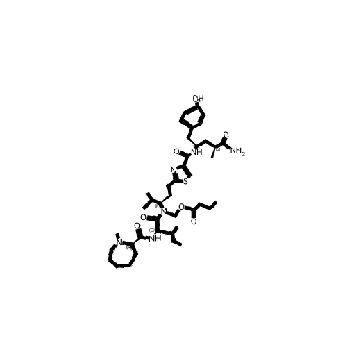 CCCC(=O)OCN(C(=O)[C@@H](NC(=O)[C@H]1CCCCCN1C)C(C)CC)[C@H](CCc1nc(C(=O)N[C@@H](Cc2ccc(O)cc2)C[C@H](C)C(N)=O)cs1)C(C)C